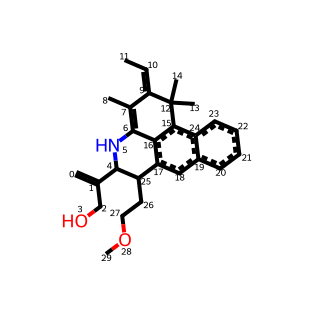 C=C(CO)C1NC2=C(C)/C(=C\C)C(C)(C)c3c2c(cc2ccccc32)C1CCOC